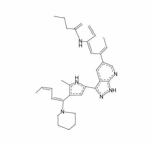 C=C/C(=C\C(=C/C)c1cnc2[nH]nc(-c3cc(/C(=C\C=C/C)N4CCCCC4)c(C)[nH]3)c2c1)NC(=C)CCC